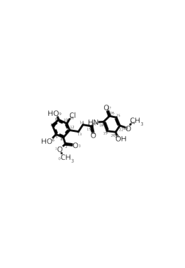 COC(=O)c1c(O)cc(O)c(Cl)c1CCC(=O)NC1=CC(O)C(OC)=CC1=O